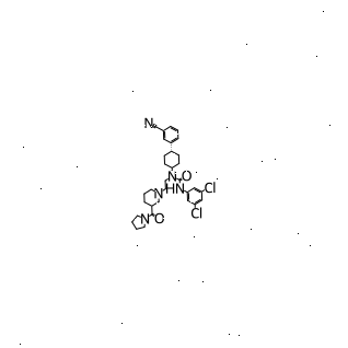 N#Cc1cccc([C@H]2CC[C@H](N(CCN3CCCC(C(=O)N4CCCC4)C3)C(=O)Nc3cc(Cl)cc(Cl)c3)CC2)c1